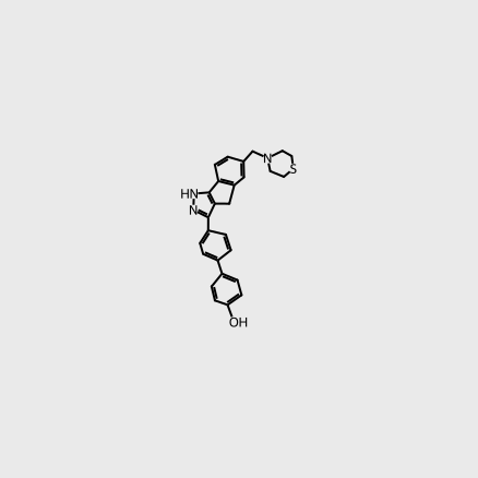 Oc1ccc(-c2ccc(-c3n[nH]c4c3Cc3cc(CN5CCSCC5)ccc3-4)cc2)cc1